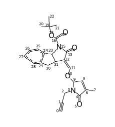 C#CCN1C(=O)C(C)=CC1O/C=C1/C(=O)N(C(=O)OC(C)(C)C)C2c3ccccc3CC12